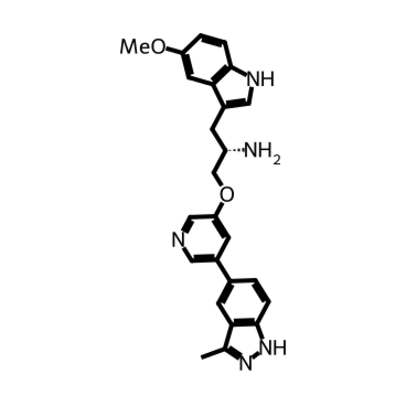 COc1ccc2[nH]cc(C[C@H](N)COc3cncc(-c4ccc5[nH]nc(C)c5c4)c3)c2c1